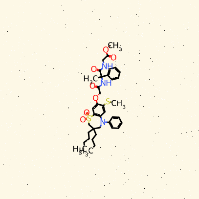 CCCCC1(CCCC)CN(c2ccccc2)c2cc(SC)c(OCC(=O)NC(C)(C(=O)NCC(=O)OC)c3ccccc3)cc2S(=O)(=O)C1